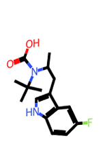 CC(Cc1c[nH]c2ccc(F)cc12)N(C(=O)O)C(C)(C)C